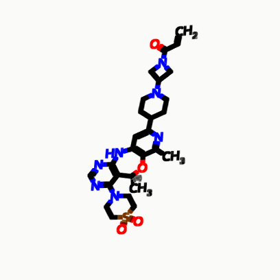 C=CC(=O)N1CC(N2CCC(c3cc4c(c(C)n3)O[C@H](C)c3c(ncnc3N3CCS(=O)(=O)CC3)N4)CC2)C1